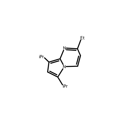 CCc1ccn2c(C(C)C)cc(C(C)C)c2n1